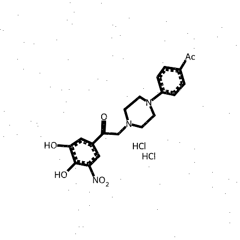 CC(=O)c1ccc(N2CCN(CC(=O)c3cc(O)c(O)c([N+](=O)[O-])c3)CC2)cc1.Cl.Cl